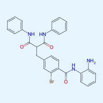 Nc1ccccc1NC(=O)c1ccc(CC(C(=O)Nc2ccccc2)C(=O)Nc2ccccc2)cc1Br